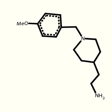 COc1ccc(CN2CCC(CCN)CC2)cc1